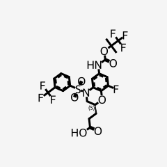 CC(C)(OC(=O)Nc1cc(F)c2c(c1)N(S(=O)(=O)c1cccc(C(F)(F)F)c1)C[C@H](CCC(=O)O)O2)C(F)(F)F